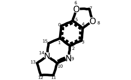 c1c2c(cc3c1OCO3)N=C1CCCN1C2